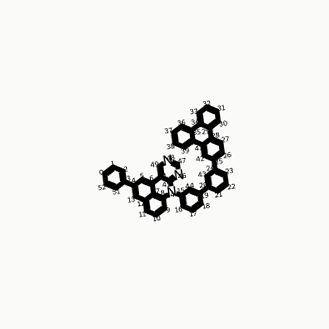 c1ccc(-c2cc3c4c(cccc4c2)N(c2cccc(-c4cccc(-c5ccc6c7ccccc7c7ccccc7c6c5)c4)c2)c2ncncc2-3)cc1